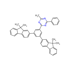 Cc1nc(-c2ccccc2)nc(-c2cc(-c3ccc4c(c3)C(C)(C)c3ccccc3-4)cc(-c3ccc4c(c3)C(C)(C)c3ccccc3-4)c2)n1